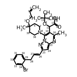 C=CCOC1(C)CCN(c2c(C(OC(C)(C)C)C(=O)O)c(C)nc3cc(C=CCc4ccccc4Br)nn23)CC1